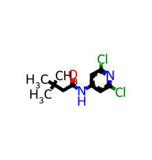 CC(C)(C)CC(=O)Nc1cc(Cl)nc(Cl)c1